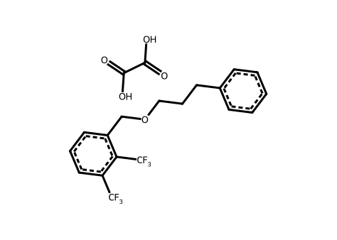 FC(F)(F)c1cccc(COCCCc2ccccc2)c1C(F)(F)F.O=C(O)C(=O)O